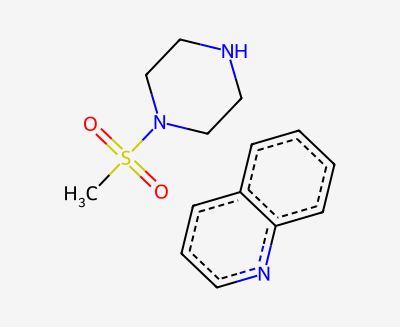 CS(=O)(=O)N1CCNCC1.c1ccc2ncccc2c1